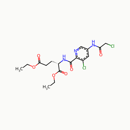 CCOC(=O)CC[C@H](NC(=O)c1ncc(NC(=O)CCl)cc1Cl)C(=O)OCC